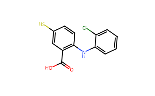 O=C(O)c1cc(S)ccc1Nc1ccccc1Cl